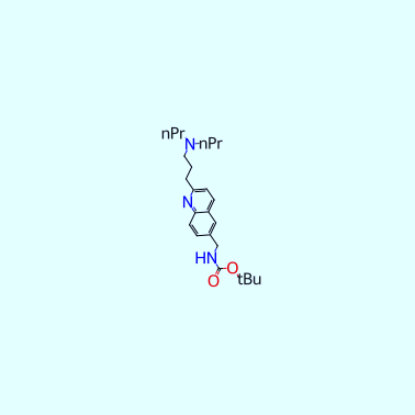 CCCN(CCC)CCCc1ccc2cc(CNC(=O)OC(C)(C)C)ccc2n1